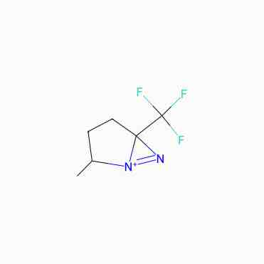 CC1CCC2(C(F)(F)F)N=[N+]12